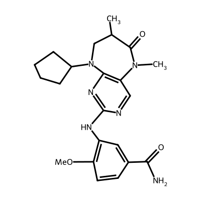 COc1ccc(C(N)=O)cc1Nc1ncc2c(n1)N(C1CCCC1)CC(C)C(=O)N2C